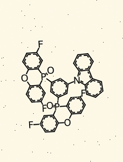 O=P1(c2cc(-n3c4ccccc4c4ccccc43)cc(P3(=O)c4cc(F)ccc4Oc4ccc(F)cc43)c2)c2cc(F)ccc2Oc2ccc(F)cc21